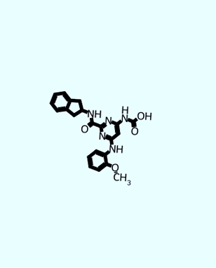 COc1ccccc1Nc1cc(NC(=O)O)nc(C(=O)NC2Cc3ccccc3C2)n1